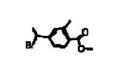 COC(=O)c1ccc(C(C)Br)cc1C